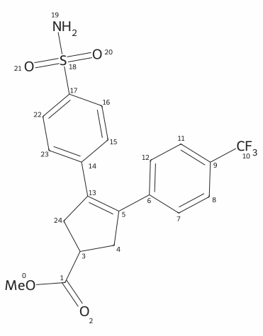 COC(=O)C1CC(c2ccc(C(F)(F)F)cc2)=C(c2ccc(S(N)(=O)=O)cc2)C1